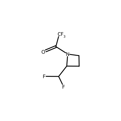 O=C(N1CCC1C(F)F)C(F)(F)F